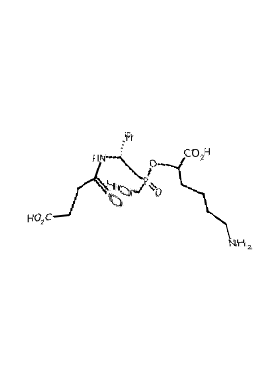 CC(C)[C@@H](NC(=O)CCC(=O)O)P(=O)(O)OC(CCCCN)C(=O)O